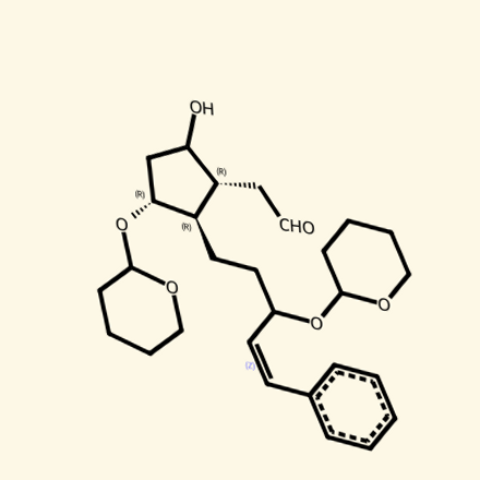 O=CC[C@H]1C(O)C[C@@H](OC2CCCCO2)[C@@H]1CCC(/C=C\c1ccccc1)OC1CCCCO1